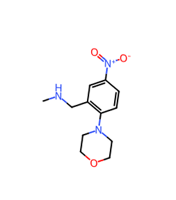 CNCc1cc([N+](=O)[O-])ccc1N1CCOCC1